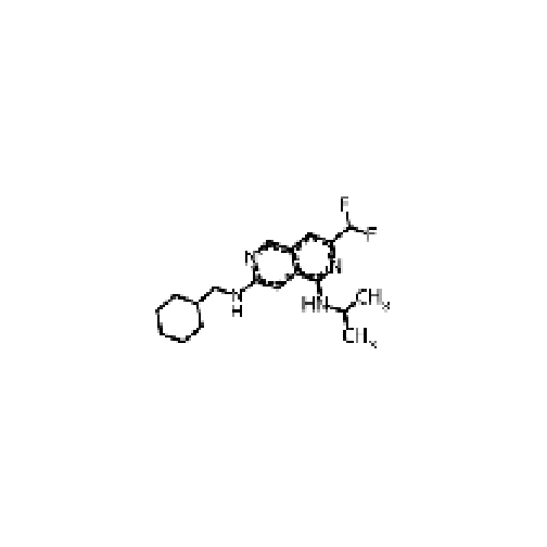 CC(C)Nc1nc(C(F)F)cc2cnc(NCC3CCCCC3)cc12